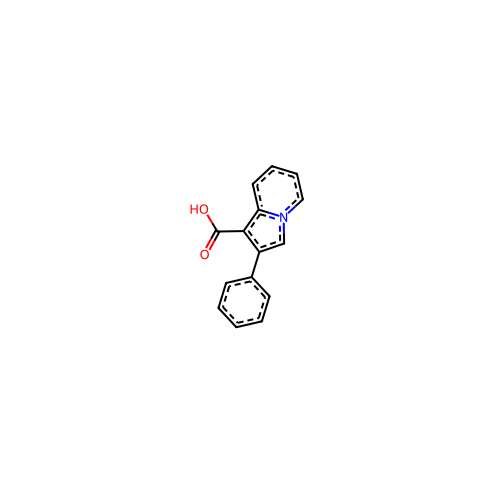 O=C(O)c1c(-c2ccccc2)cn2ccccc12